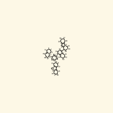 c1ccc2c(-c3nc(-c4ccc5c(c4)oc4ccccc45)nc(-c4ccc(-c5cccc6c5sc5ccccc56)c5ccccc45)n3)cccc2c1